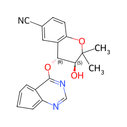 CC1(C)Oc2ccc(C#N)cc2[C@@H](Oc2ncnc3ccccc23)[C@@H]1O